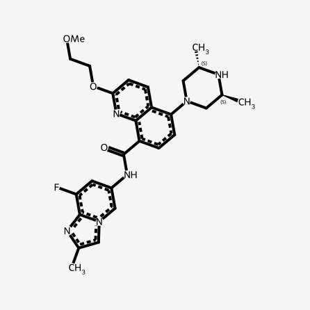 COCCOc1ccc2c(N3C[C@H](C)N[C@@H](C)C3)ccc(C(=O)Nc3cc(F)c4nc(C)cn4c3)c2n1